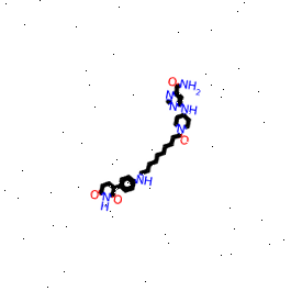 NC(=O)c1cc(NC2CCN(C(=O)CCCCCCCCCNc3ccc(C4CCC(=O)NC4=O)cc3)CC2)ncn1